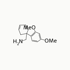 COc1ccc(C2(CN)C=CC=CC2)c(OC)c1